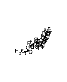 C=CC(=O)OC(F)(F)C(F)(F)N(C)S(=O)(=O)C(F)(F)C(F)(F)C(F)(F)C(F)(F)C(F)(F)C(F)(F)F